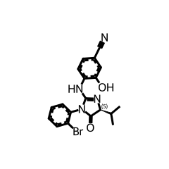 CC(C)[C@@H]1N=C(Nc2ccc(C#N)cc2O)N(c2ccccc2Br)C1=O